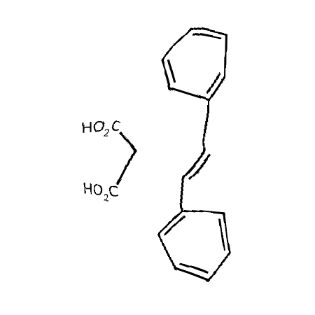 C(=Cc1ccccc1)c1ccccc1.O=C(O)CC(=O)O